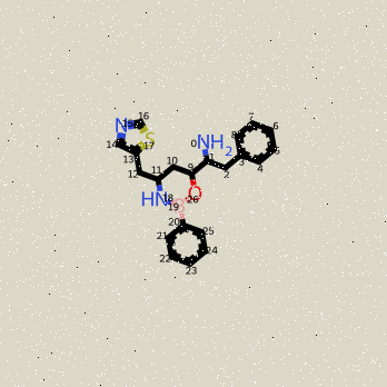 NC(Cc1ccccc1)C1CC(Cc2cncs2)NB(c2ccccc2)O1